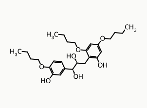 CCCCOc1cc(O)c(C[C@H](O)[C@@H](O)c2ccc(OCCCC)c(O)c2)c(OCCCC)c1